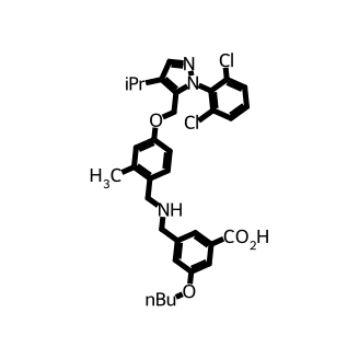 CCCCOc1cc(CNCc2ccc(OCc3c(C(C)C)cnn3-c3c(Cl)cccc3Cl)cc2C)cc(C(=O)O)c1